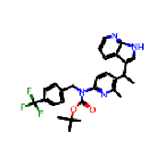 Cc1nc(N(Cc2ccc(C(F)(F)F)cc2)C(=O)OC(C)(C)C)ccc1C(C)c1c[nH]c2ncccc12